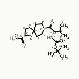 CC(C)[C@H](NC(=O)OC(C)(C)C)C(=O)N1CCC2(CC1)N[C@H](C(N)=O)CS2